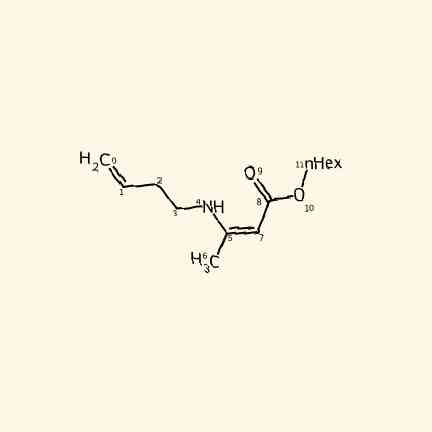 C=CCCNC(C)=CC(=O)OCCCCCC